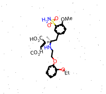 CCOc1ccccc1OCCN[C@H](C)Cc1ccc(OC)c(S(N)(=O)=O)c1.O=C(O)/C=C/C(=O)O